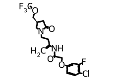 C=C(CCN1C[C@@H](COC(F)(F)F)CC1=O)NC(=O)COc1ccc(Cl)c(F)c1